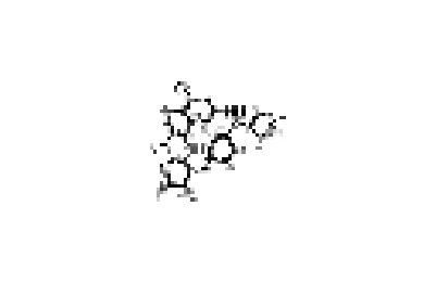 N#Cc1cnc2c(Cl)cc(N[C@H](C3=CNNN3)c3ccc(F)cc3)cc2c1Nc1cnc(F)c(Cl)c1